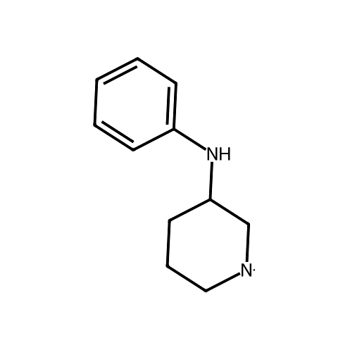 c1ccc(NC2CCC[N]C2)cc1